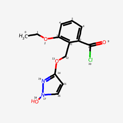 CCOc1cccc(C(=O)Cl)c1COc1ccn(O)n1